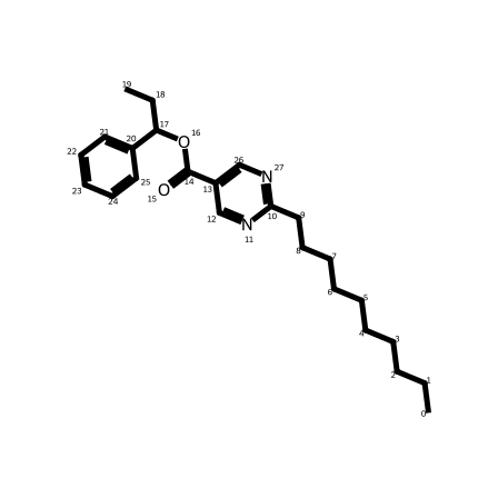 CCCCCCCCCCc1ncc(C(=O)OC(CC)c2ccccc2)cn1